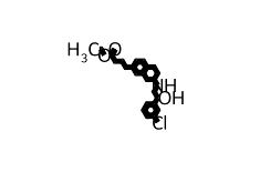 CCOC(=O)CCCc1ccc2c(c1)CC(NCC(O)c1cccc(Cl)c1)CC2